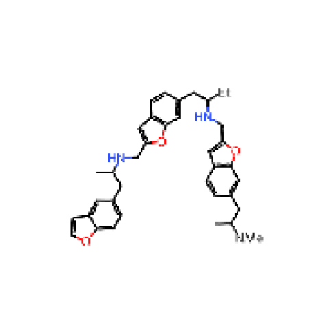 CCC(Cc1ccc2cc(CNC(C)Cc3ccc4occc4c3)oc2c1)NCc1cc2ccc(CC(C)NC)cc2o1